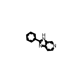 c1ccc(-c2nc3ccncc3[nH]2)cc1